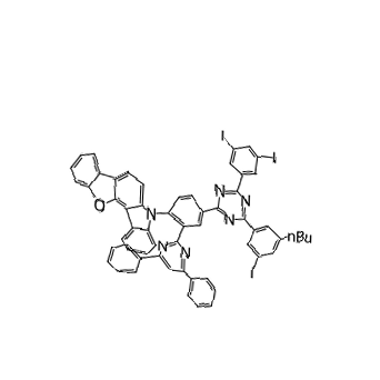 CCCCc1cc(I)cc(-c2nc(-c3cc(I)cc(I)c3)nc(-c3ccc(-n4c5ccccc5c5c6oc7ccccc7c6ccc54)c(-c4nc(-c5ccccc5)cc(-c5ccccc5)n4)c3)n2)c1